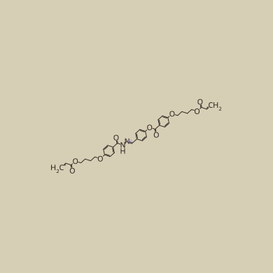 C=CC(=O)OCCCCOc1ccc(C(=O)N/N=C/c2ccc(OC(=O)c3ccc(OCCCCOC(=O)C=C)cc3)cc2)cc1